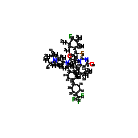 [2H]c1c([2H])c(CSc2nc(=O)c3c(n2C([2H])([2H])C(=O)N(C([2H])([2H])c2ccc(-c4ccc(C(F)(F)F)cc4)cc2)C([2H])([2H])C([2H])([2H])N(C([2H])([2H])C)C([2H])([2H])C)C([2H])([2H])C([2H])(C)C3([2H])[2H])c([2H])c([2H])c1F